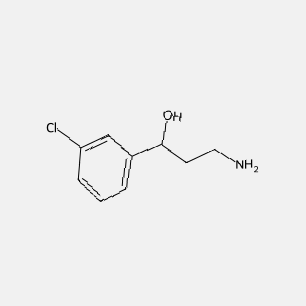 NCCC(O)c1cccc(Cl)c1